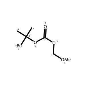 COCOC(=O)OC(C)(C)C(C)(C)C